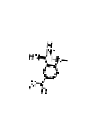 CNc1ccc(C(=O)OC)cc1C(=N)N